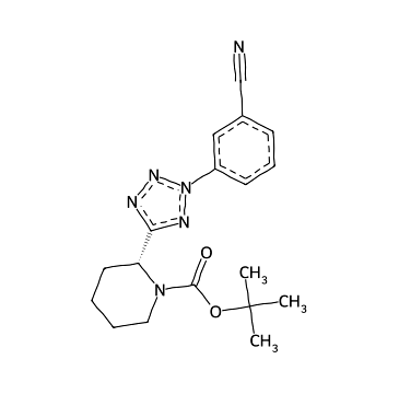 CC(C)(C)OC(=O)N1CCCC[C@@H]1c1nnn(-c2cccc(C#N)c2)n1